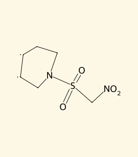 O=[N+]([O-])CS(=O)(=O)N1C[CH][CH]CC1